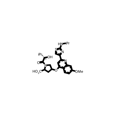 COc1ccc2c(OC3CC(C(=O)O)N(C(=O)[C@@H](O)C(C)C)C3)cc(-c3csc(NC(C)C)n3)nc2c1